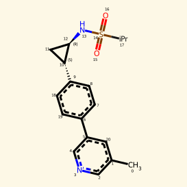 Cc1cncc(-c2ccc([C@@H]3C[C@H]3NS(=O)(=O)C(C)C)cc2)c1